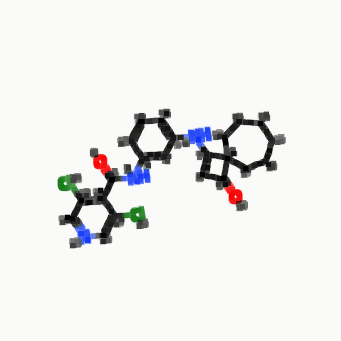 O=C(Nc1[c]c(NC2=CC(=O)C23CCCCCC3)ccc1)c1c(Cl)cncc1Cl